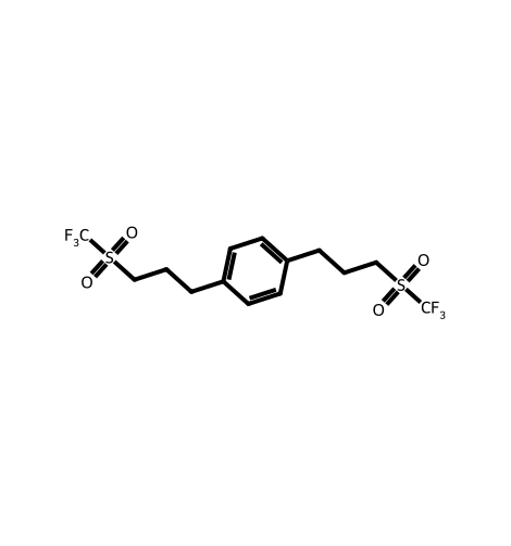 O=S(=O)(CCCc1ccc(CCCS(=O)(=O)C(F)(F)F)cc1)C(F)(F)F